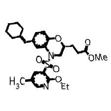 CCOc1ncc(C)cc1S(=O)(=O)N1C[C@H](CCC(=O)OC)Oc2ccc(C=C3CCCCC3)cc21